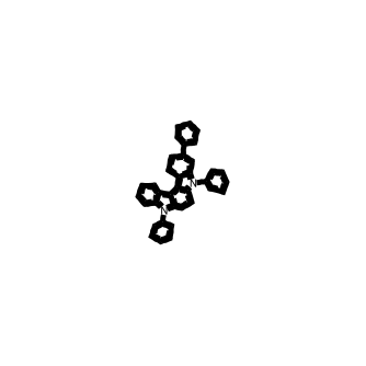 c1ccc(-c2ccc3c4c5c6ccccc6n(-c6ccccc6)c5ccc4n(-c4ccccc4)c3c2)cc1